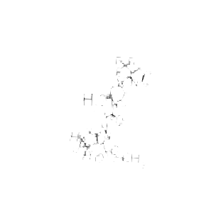 CCOC(=O)c1nn(CC(=O)N2CC[C@@H](Oc3ncccc3C(F)(F)F)C[C@@H]2C)c2c1[C@@H]1C[C@@H]1C2